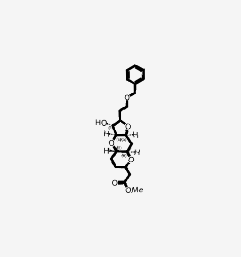 COC(=O)CC1CC[C@@H]2O[C@@H]3[C@H](C[C@H]2O1)OC(CCOCc1ccccc1)[C@H]3O